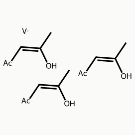 CC(=O)/C=C(/C)O.CC(=O)/C=C(/C)O.CC(=O)/C=C(/C)O.[V]